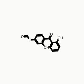 O=COc1ccc(C(=O)c2ccccc2O)c(O)c1